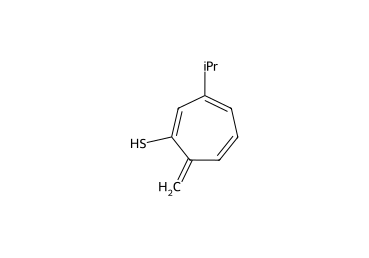 C=C1C=CC=C(C(C)C)C=C1S